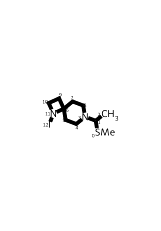 CSC(C)N1CCC2(CC1)CCN2I